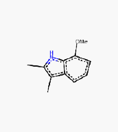 COc1cccc2c(C)c(C)[nH]c12